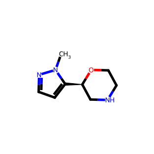 Cn1nccc1[C@@H]1CNCCO1